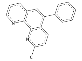 Clc1ccc2c(-c3ccccc3)cc3cccnc3c2n1